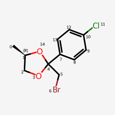 C[C@@H]1COC(CBr)(c2ccc(Cl)cc2)O1